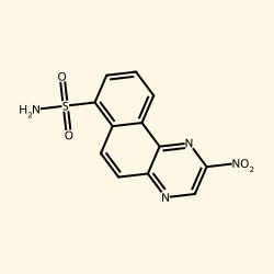 NS(=O)(=O)c1cccc2c1ccc1ncc([N+](=O)[O-])nc12